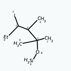 CCC(I)C(C)C(C)(C)O[SiH3]